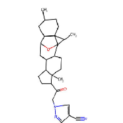 CC1CCC23C(C1)C1CC4C5CCC(C(=O)Cn6cc(C#N)cn6)C5(C)CCC4C2(O1)C3C